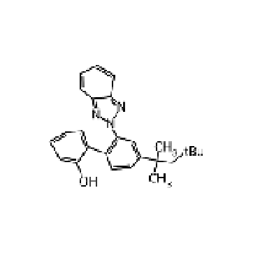 CC(C)(C)CC(C)(C)c1ccc(-c2ccccc2O)c(-n2nc3ccccc3n2)c1